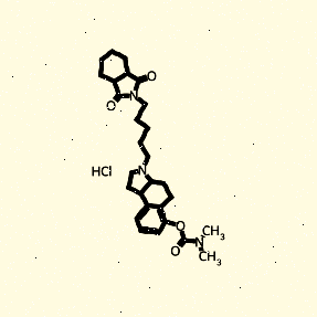 CN(C)C(=O)Oc1cccc2c1CCC1C2CCN1CCCCCN1C(=O)C2CCCCC2C1=O.Cl